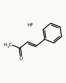 CC(=O)C=Cc1ccccc1.F